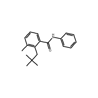 Cc1cccc(C(=O)Nc2ccccc2)c1CC(C)(C)C